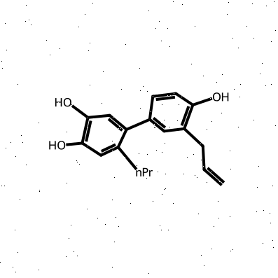 C=CCc1cc(-c2cc(O)c(O)cc2CCC)ccc1O